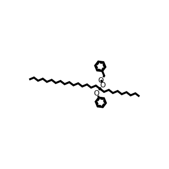 CCCCCCCCCCCCCCCCC(CCCCCCCCC)(OOCc1ccccc1)Oc1ccccc1